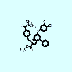 COC(=O)c1cc2c(-c3ccccc3)cc(Sc3ccc(Cl)c(Cl)c3)cc2n1Cc1ccc(C(=O)N(C)C)cc1